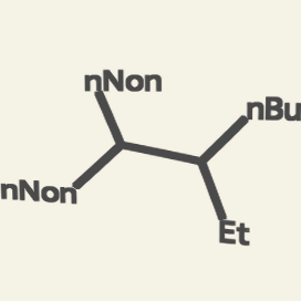 CCCCCCCCCC(CCCCCCCCC)C(CC)CCCC